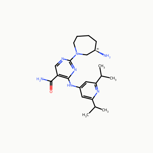 CC(C)c1cc(Nc2nc(N3CCCC[C@@H](N)C3)ncc2C(N)=O)cc(C(C)C)n1